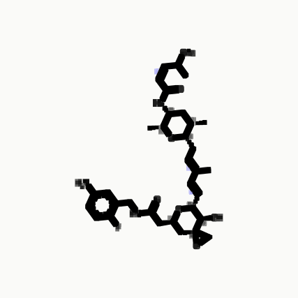 CC(=O)OC(C)/C=C\C(=O)N[C@@H]1C[C@H](C)[C@H](C/C=C(C)/C=C/[C@H]2O[C@H](CC(=O)NCc3cc(N)ccc3F)C[C@@]3(CO3)[C@@H]2O)O[C@@H]1C